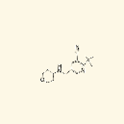 CC(C)(C)c1ncc(CNC2CCOCC2)cc1C#N